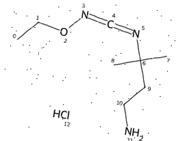 CCON=C=NC(C)(C)CCN.Cl